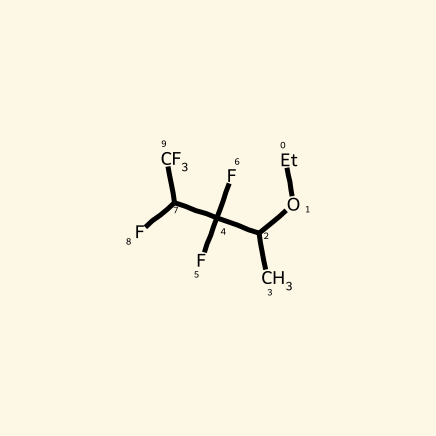 CCOC(C)C(F)(F)C(F)C(F)(F)F